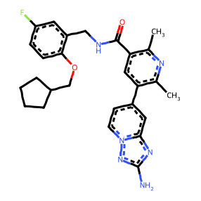 Cc1nc(C)c(-c2ccn3nc(N)nc3c2)cc1C(=O)NCc1cc(F)ccc1OCC1CCCC1